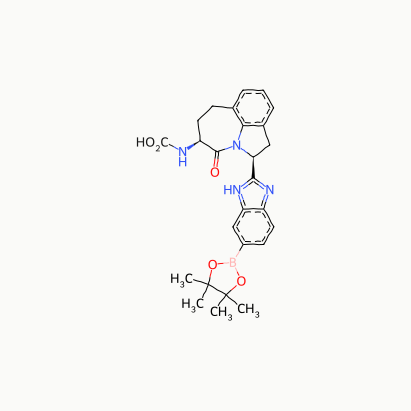 CC1(C)OB(c2ccc3nc([C@@H]4Cc5cccc6c5N4C(=O)[C@@H](NC(=O)O)CC6)[nH]c3c2)OC1(C)C